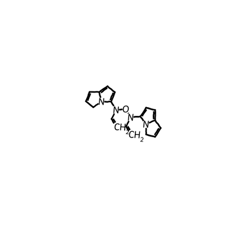 C=CN(ON(C=C)c1ccc2n1CC=C2)c1ccc2n1CC=C2